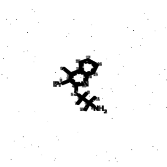 Cc1c(C(C)C)c(SC(C)(C)C(C)(C)N)nc2ccccc12